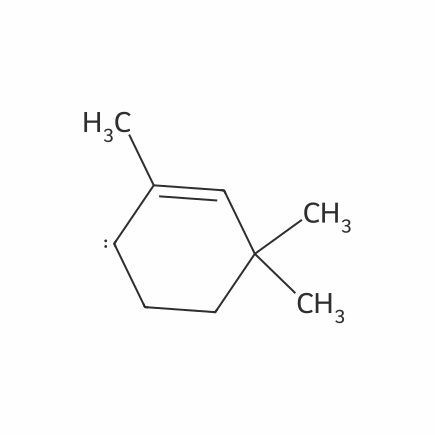 CC1=CC(C)(C)CC[C]1